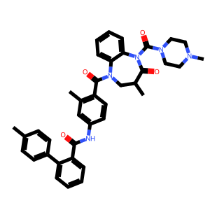 Cc1ccc(-c2ccccc2C(=O)Nc2ccc(C(=O)N3CC(C)C(=O)N(C(=O)N4CCN(C)CC4)c4ccccc43)c(C)c2)cc1